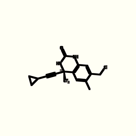 Cc1cc2c(cc1CCl)NC(=O)N[C@]2(C#CC1CC1)C(F)(F)F